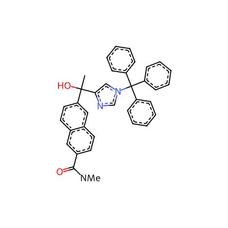 CNC(=O)c1ccc2cc(C(C)(O)c3cn(C(c4ccccc4)(c4ccccc4)c4ccccc4)cn3)ccc2c1